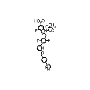 CC1(C)COCC1n1c(Cc2cc(F)c(-c3cccc(OCc4ccc(-n5ccnn5)cc4)n3)cc2F)nc2c(F)cc(C(=O)O)cc21